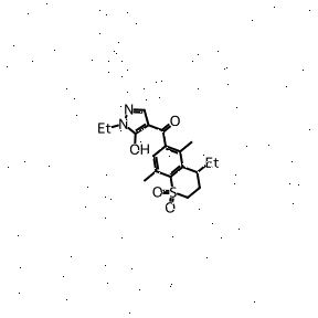 CCC1CCS(=O)(=O)c2c(C)cc(C(=O)c3cnn(CC)c3O)c(C)c21